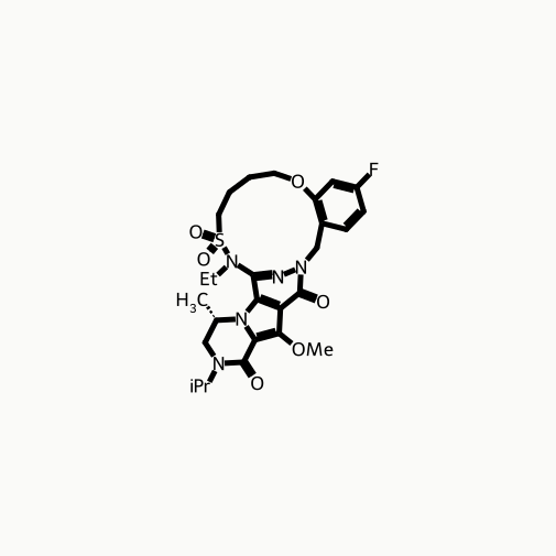 CCN1c2nn(c(=O)c3c(OC)c4n(c23)[C@@H](C)CN(C(C)C)C4=O)Cc2ccc(F)cc2OCCCCS1(=O)=O